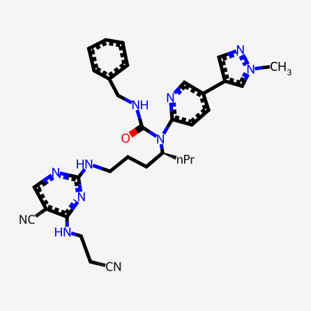 CCC[C@@H](CCCNc1ncc(C#N)c(NCCC#N)n1)N(C(=O)NCc1ccccc1)c1ccc(-c2cnn(C)c2)cn1